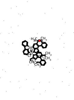 CCC1=Cc2c(ccc(C(C)C)c2-c2ccccc2C(C)C)[CH]1[Zr]([Cl])([Cl])([c]1cccc2c1[SiH2]c1ccccc1-2)[CH]1C(CC)=Cc2c1ccc(C(C)C)c2-c1ccccc1C(C)C